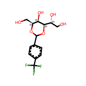 OC[C@@H](O)[C@H]1OC(c2ccc(C(F)(F)F)cc2)O[C@@H](CO)[C@H]1O